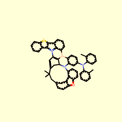 Cc1ccccc1N(c1ccc2c(c1)N1c3cccc4oc5ccc(cc5c34)CC(C)(C)C3=CC4=C(B2c2cccc5c6sc7ccccc7c6n4c25)C1C3)c1ccccc1C